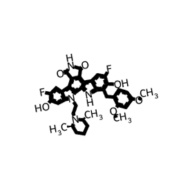 COc1ccc(Cc2c(O)c(F)cc3c2[nH]c2c3c3c(c4c5cc(F)c(O)cc5n(CCN5[C@H](C)CCC[C@@H]5C)c24)C(=O)NC3=O)c(OC)c1